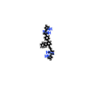 C(#Cc1ccc(-c2ccc(-c3cnc(C4CCCN4)[nH]3)cc2)c2c1CC1(CCCC1)C2)c1cnc([C@@H]2CCCN2)[nH]1